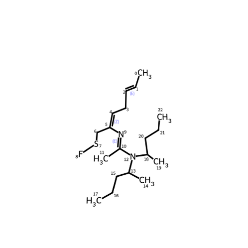 C/C=C/C/C=C(CSF)\N=C(/C)N(C(C)CCC)C(C)CCC